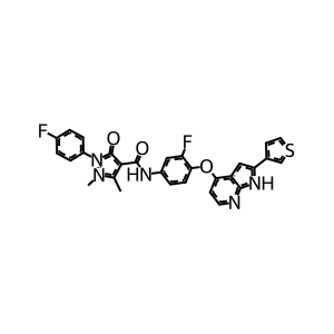 Cc1c(C(=O)Nc2ccc(Oc3ccnc4[nH]c(-c5ccsc5)cc34)c(F)c2)c(=O)n(-c2ccc(F)cc2)n1C